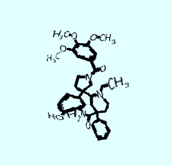 CCN1CCC(C(N)=O)(c2ccccc2)CC1C1(c2ccc(O)cc2)CCN(C(=O)c2cc(OC)c(OC)c(OC)c2)C1